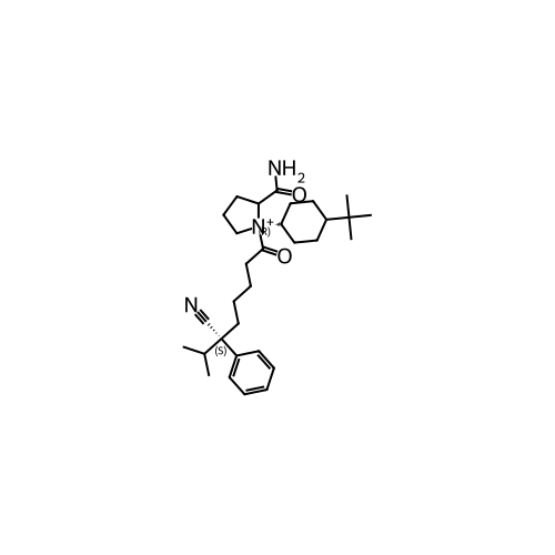 CC(C)[C@@](C#N)(CCCCC(=O)[N@@+]1(C2CCC(C(C)(C)C)CC2)CCCC1C(N)=O)c1ccccc1